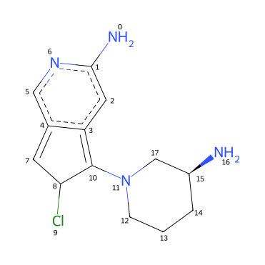 Nc1cc2c(cn1)=CC(Cl)C=2N1CCC[C@H](N)C1